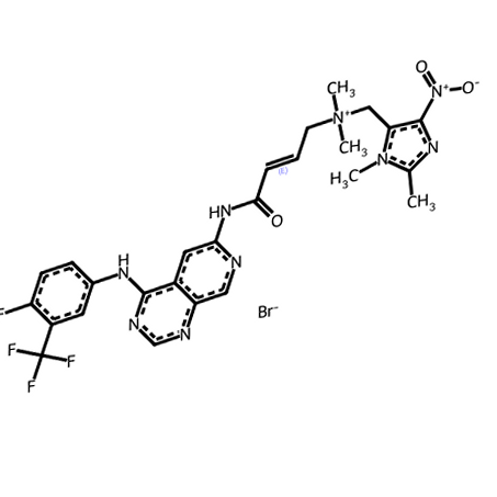 Cc1nc([N+](=O)[O-])c(C[N+](C)(C)C/C=C/C(=O)Nc2cc3c(Nc4ccc(F)c(C(F)(F)F)c4)ncnc3cn2)n1C.[Br-]